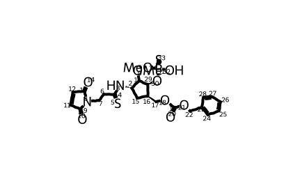 COC1[C@@H](NC(=S)CCN2C(=O)C=CC2=O)C[C@H](COC(=O)OCc2ccccc2)[C@@H]1OP(O)(=S)OC